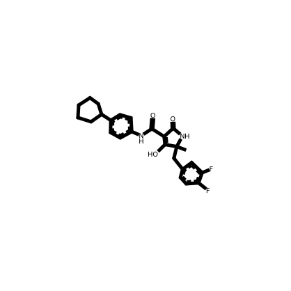 CC1(Cc2ccc(F)c(F)c2)NC(=O)C(C(=O)Nc2ccc(C3CCCCC3)cc2)=C1O